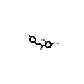 COc1ccc(C(=O)C=Cc2ccc([N+](=O)[O-])cc2)c(O)c1